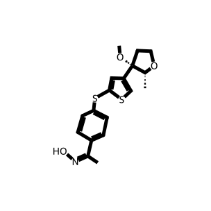 CO[C@]1(c2csc(Sc3ccc(/C(C)=N\O)cc3)c2)CCO[C@@H]1C